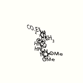 CCOC(=O)c1cc(S(=O)(=O)NC(=O)Nc2nc(OC)cc(OC)n2)n(C)n1